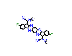 [C-]#[N+]/C(C#N)=C1/c2cc(F)ccc2-c2nc3cc4nc5c(nc4cc3nc21)-c1ccc(F)cc1/C5=C(/C#N)[N+]#[C-]